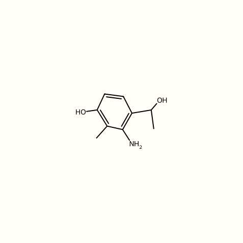 Cc1c(O)ccc(C(C)O)c1N